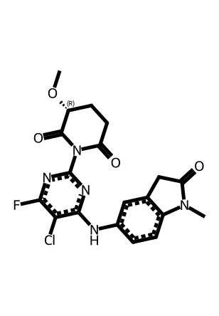 CO[C@@H]1CCC(=O)N(c2nc(F)c(Cl)c(Nc3ccc4c(c3)CC(=O)N4C)n2)C1=O